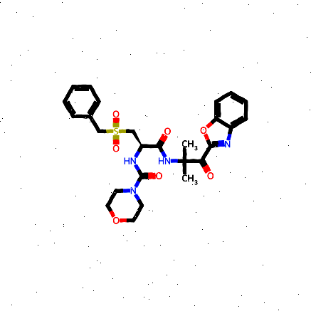 CC(C)(NC(=O)[C@H](CS(=O)(=O)Cc1ccccc1)NC(=O)N1CCOCC1)C(=O)c1nc2ccccc2o1